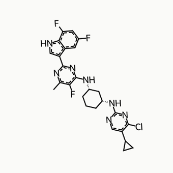 Cc1nc(-c2c[nH]c3c(F)cc(F)cc23)nc(N[C@H]2CCC[C@@H](Nc3ncc(C4CC4)c(Cl)n3)C2)c1F